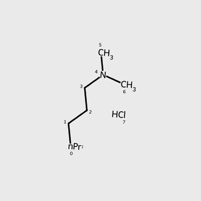 CC[C]CCCN(C)C.Cl